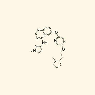 CN1CCCC1CCOc1ccc(Oc2ccc3ncnc(Nc4ccn(C)n4)c3c2)nc1